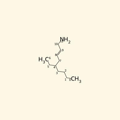 CCCCC(CC)CC=CCN